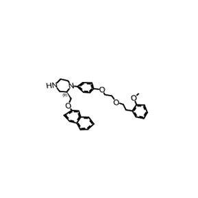 COc1ccccc1CCOCCOc1ccc(N2CCNC[C@@H]2COc2ccc3ccccc3c2)cc1